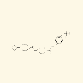 O=C(COc1ccc(OC(F)(F)F)cc1)N1CCN(CC(=O)N2CCN(C3CCC3)CC2)CC1